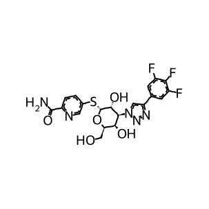 NC(=O)c1ccc(S[C@H]2O[C@H](CO)[C@H](O)[C@H](n3cc(-c4cc(F)c(F)c(F)c4)nn3)[C@H]2O)cn1